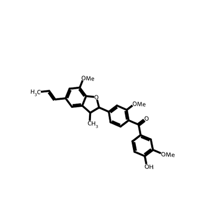 CC=Cc1cc(OC)c2c(c1)C(C)C(c1ccc(C(=O)c3ccc(O)c(OC)c3)c(OC)c1)O2